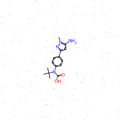 Cn1nc(-c2ccc(N(C(=O)O)C(C)(C)C)cc2)cc1N